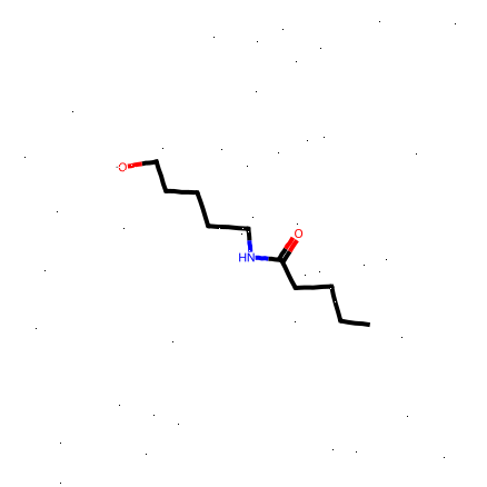 CCCCC(=O)NCCCCC[O]